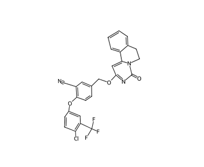 N#Cc1cc(COc2cc3n(c(=O)n2)CCc2ccccc2-3)ccc1Oc1ccc(Cl)c(C(F)(F)F)c1